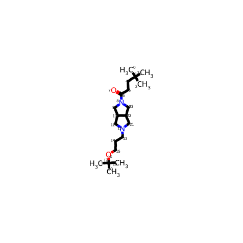 CC(C)(C)CCC(=O)N1CC2CN(CCCOC(C)(C)C)CC2C1